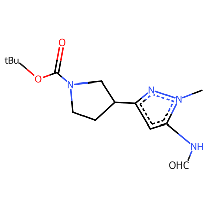 Cn1nc(C2CCN(C(=O)OC(C)(C)C)C2)cc1NC=O